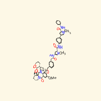 COc1cc2c(cc1OCc1cccc(CC(=O)Nc3cc(C(=O)Nc4ccc(-c5cc(C(=O)Nc6ccccc6)n(C)c5)cc4)n(C)c3)c1)N(C(=O)O)C(OC1CCCCO1)[C@@H]1CCCCN1C2=O